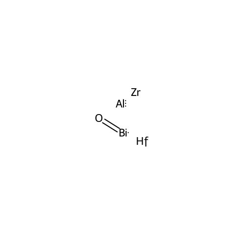 [Al].[Hf].[O]=[Bi].[Zr]